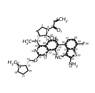 C=CC(=O)N1CC[C@@H](N(C)c2nc(OC[C@@H]3CCCN3C)nc3c(F)c(-c4ccc(F)c5sc(N)c(C#N)c45)ccc23)[C@@H]1C